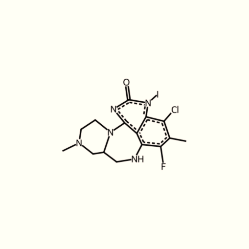 Cc1c(F)c2c3c(nc(=O)n(I)c3c1Cl)N1CCN(C)CC1CN2